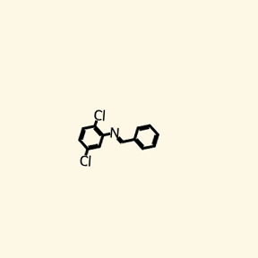 Clc1ccc(Cl)c(/N=C/c2ccccc2)c1